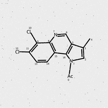 CC(=O)n1cc(C)c2cnc3c(Cl)c(Cl)ccc3c21